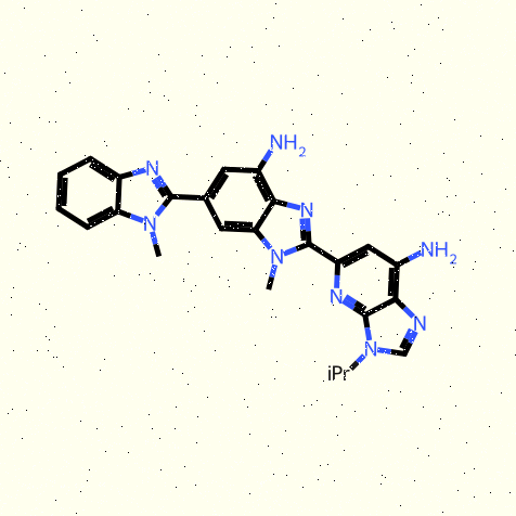 CC(C)n1cnc2c(N)cc(-c3nc4c(N)cc(-c5nc6ccccc6n5C)cc4n3C)nc21